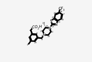 Cc1cc(CC(=O)O)cc(CN2CCN(c3nc4ccc(C(F)(F)F)cc4s3)[C@@H](C)C2)c1